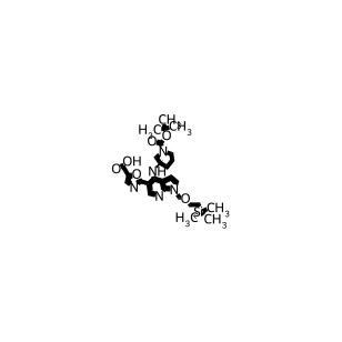 CC(C)(C)OC(=O)N1CCC[C@@H](Nc2c(-c3ncc(C(=O)O)o3)cnc3c2ccn3COCC[Si](C)(C)C)C1